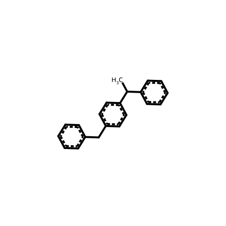 CC(c1ccccc1)c1ccc(Cc2ccccc2)cc1